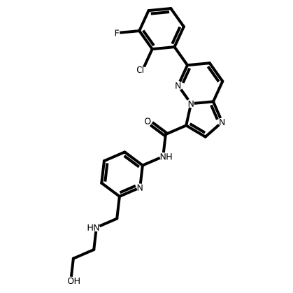 O=C(Nc1cccc(CNCCO)n1)c1cnc2ccc(-c3cccc(F)c3Cl)nn12